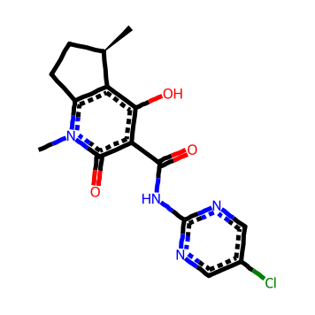 C[C@@H]1CCc2c1c(O)c(C(=O)Nc1ncc(Cl)cn1)c(=O)n2C